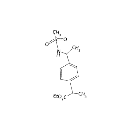 CCOC(=O)C(C)c1ccc(C(C)NS(C)(=O)=O)cc1